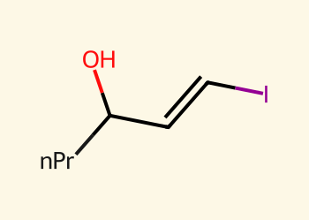 CCCC(O)C=CI